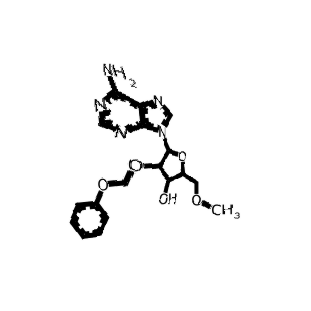 COCC1OC(n2cnc3c(N)ncnc32)C(OCOc2ccccc2)C1O